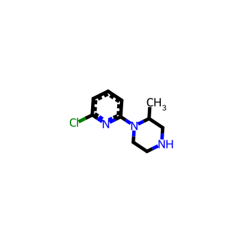 CC1CNCCN1c1cccc(Cl)n1